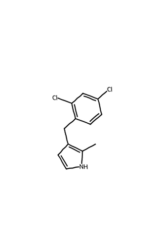 Cc1[nH]ccc1Cc1ccc(Cl)cc1Cl